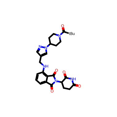 CC(C)(C)C(=O)N1CCC(n2cc(CNc3cccc4c3C(=O)N(C3CCC(=O)NC3=O)C4=O)cn2)CC1